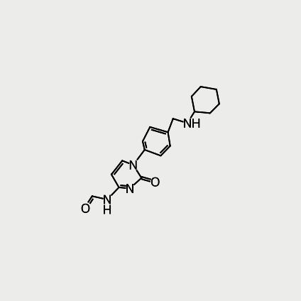 O=CNc1ccn(-c2ccc(CNC3CCCCC3)cc2)c(=O)n1